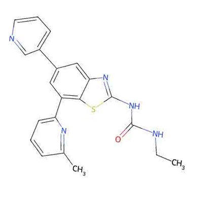 CCNC(=O)Nc1nc2cc(-c3cccnc3)cc(-c3cccc(C)n3)c2s1